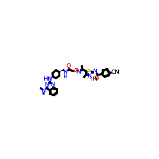 C/C(=N\OCC(=O)NC[C@H]1CC[C@@H](Nc2nc(N(C)C)c3ccccc3n2)CC1)c1s/c(=N/C(=O)c2ccc(C#N)cc2)n(C(C)C)c1C